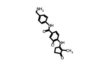 CC1=C(Nc2ccc(C(=O)Nc3ccc(CN)cc3)cc2Cl)CCC1=O